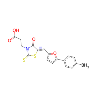 Bc1ccc(-c2ccc(/C=C3\SC(=S)N(CCC(=O)O)C3=O)o2)cc1